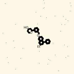 CCc1cc(-c2ccccc2)c2ccc(OCc3cccc(C4CC(O)CCO4)c3)cc2c1